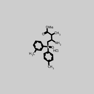 COC(=O)C(C)C(N)CP(=O)(c1ccc(C)cc1)c1cccc(C)c1.Cl